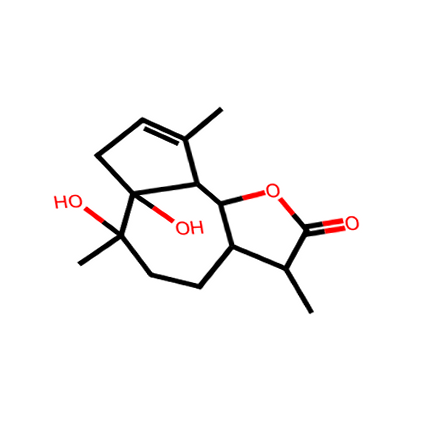 CC1=CCC2(O)C1C1OC(=O)C(C)C1CCC2(C)O